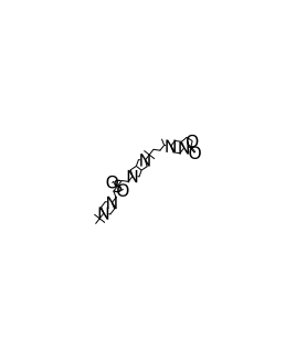 CC(CCC(C)(C)N1CC2CN(CCS(=O)(=O)CCN3CCN(C(C)(C)C)CC3)CC2C1)N1CCN2C(=O)OCC2C1